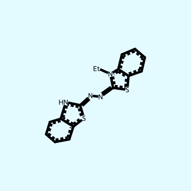 CCn1c(=NN=c2[nH]c3ccccc3s2)sc2ccccc21